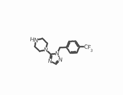 FC(F)(F)c1ccc(Cn2ncnc2N2CCNCC2)cc1